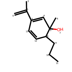 C=C(C)C1=CC(C)(O)C(CCC)C=C1